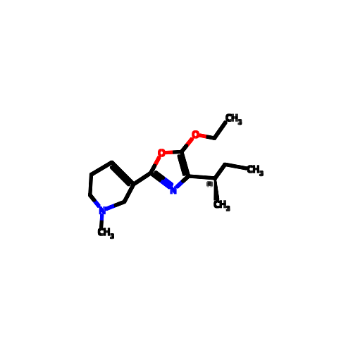 CCOc1oc(C2=CCCN(C)C2)nc1[C@H](C)CC